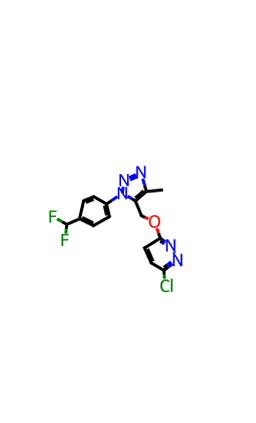 Cc1nnn(-c2ccc(C(F)F)cc2)c1COc1ccc(Cl)nn1